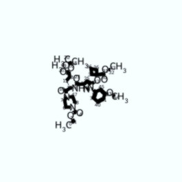 CCOC(=O)N1CCN(C(=O)[C@H](CCC(=O)OC(C)(C)C)NC(=O)c2cc(OC3(C(=O)OCC)CCC3)n(-c3cccc(OC)c3)n2)CC1